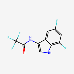 O=C(Nc1c[nH]c2c(F)cc(F)cc12)C(F)(F)F